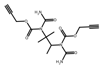 C#CCOC(=O)N(C(N)=O)C(C)C(C)(C)N(C(N)=O)C(=O)OCC#C